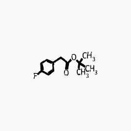 CC(C)(C)OC(=O)Cc1ccc(F)cc1